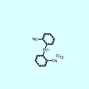 N#Cc1cccc[c]1[Pt+2][c]1ccccc1C#N.[Cl-].[Cl-]